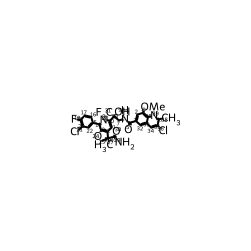 COc1cc(C(=O)NC[C@](O)(c2cc3c(c(-c4ccc(F)c(Cl)c4)n2)OC[C@]3(C)C(N)=O)C(F)(F)F)cc2cc(Cl)c(C)nc12